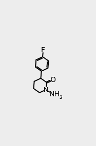 NN1CCCC(c2ccc(F)cc2)C1=O